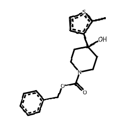 Cc1sccc1C1(O)CCN(C(=O)OCc2ccccc2)CC1